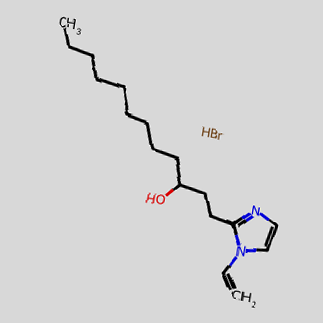 Br.C=Cn1ccnc1CCC(O)CCCCCCCCC